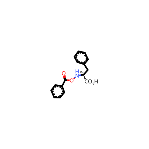 O=C(ON[C@@H](Cc1ccccc1)C(=O)O)c1ccccc1